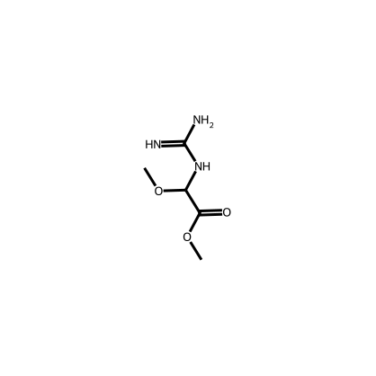 COC(=O)C(NC(=N)N)OC